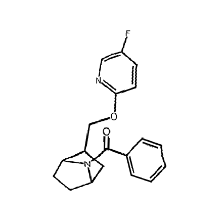 O=C(c1ccccc1)N1C2CCC1C(COc1ccc(F)cn1)C2